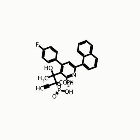 C#CC(C(=O)O)([PH](=O)O)C(C)(O)c1c(-c2ccc(F)cc2)cc(-c2cccc3ccccc23)nc1C(C)C